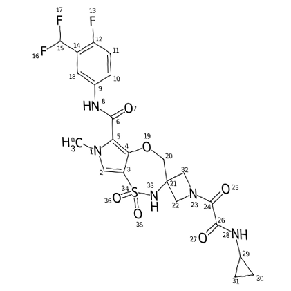 Cn1cc2c(c1C(=O)Nc1ccc(F)c(C(F)F)c1)OCC1(CN(C(=O)C(=O)NC3CC3)C1)NS2(=O)=O